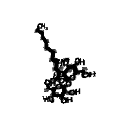 CCCCCCCCCCCC(=O)OC1(O[C@H]2O[C@H](CO)[C@@H](O)[C@H](O)[C@H]2O)O[C@H](CO)[C@@H](O)[C@H](O)[C@H]1O